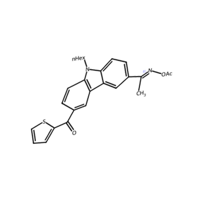 CCCCCCn1c2ccc(C(=O)c3cccs3)cc2c2cc(/C(C)=N/OC(C)=O)ccc21